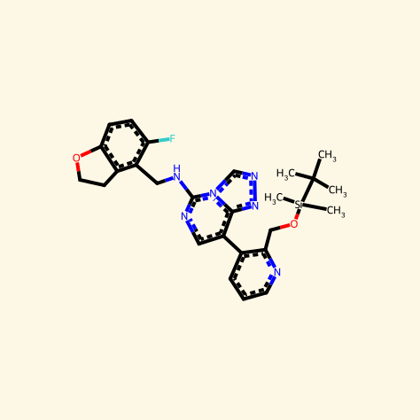 CC(C)(C)[Si](C)(C)OCc1ncccc1-c1cnc(NCc2c(F)ccc3c2CCO3)n2cnnc12